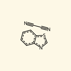 N#CC#N.c1ccc2scnc2c1